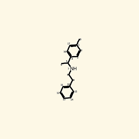 Cc1ccc(C(C)NCCc2ccccc2)cc1